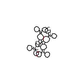 C1CCCC(N(C2CCCCCCC2)C2CCCC3C4CCCC(N(C5CCCCCCC5)C5CCCCCCC5)CCCC4C4(C3CCC2)C2CCCC(N(C3CCCCCCC3)C3CCCCCCC3)CCCC2C2CCCC(N(C3CCCCCCC3)C3CCCCCCC3)CCCC24)CCC1